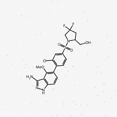 COc1c(-c2ccc(S(=O)(=O)N3CC(F)(F)CC3CO)cc2Cl)ccc2[nH]nc(N)c12